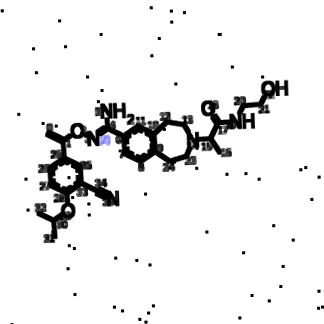 C=C(O/N=C(\N)c1ccc2c(c1)CCN(C(C)C(=O)NCCO)CC2)c1ccc(OC(C)C)c(C#N)c1